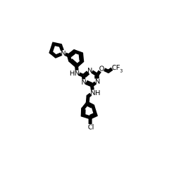 FC(F)(F)COc1nc(NCc2ccc(Cl)cc2)nc(Nc2cccc(N3CCCC3)c2)n1